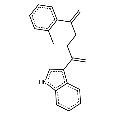 C=C(CCC(=C)c1c[nH]c2ccccc12)c1ccccc1C